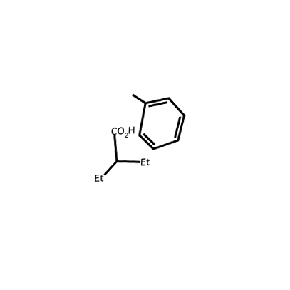 CCC(CC)C(=O)O.Cc1ccccc1